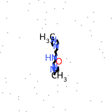 Cc1[c]cn(CC(=O)NCCCN2CCN(C)CC2)n1